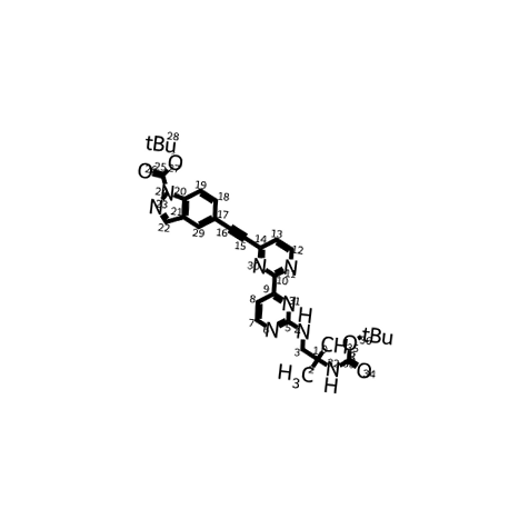 CC(C)(CNc1nccc(-c2nccc(C#Cc3ccc4c(cnn4C(=O)OC(C)(C)C)c3)n2)n1)NC(=O)OC(C)(C)C